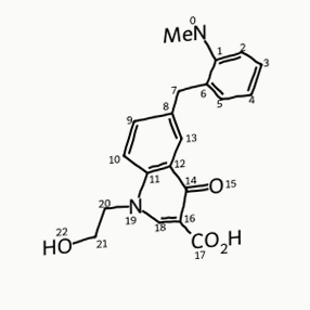 CNc1ccccc1Cc1ccc2c(c1)c(=O)c(C(=O)O)cn2CCO